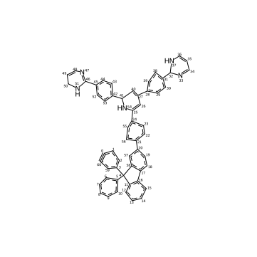 c1ccc(C2(c3ccccc3)c3ccccc3-c3ccc(-c4ccc(C5=CC(c6ccc(C7N=CC=CN7)cc6)=CC(c6ccc(C7=NC=CCN7)cc6)N5)cc4)cc32)cc#1